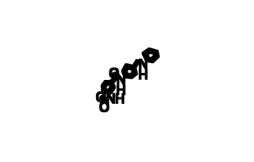 O=C(Nc1ccc(CNc2ccccc2)cc1)c1ccc2oc(=O)[nH]c2c1